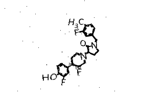 Cc1ccc(CN2CCC(N3CC[C@H](c4ccc(O)c(F)c4)[C@@H](F)C3)C2=O)cc1F